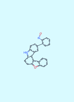 O=Nc1ccccc1-c1ccc2[nH]c3ccc4oc5ccccc5c4c3c2c1